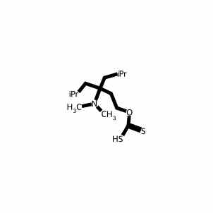 CC(C)CC(CCOC(=S)S)(CC(C)C)N(C)C